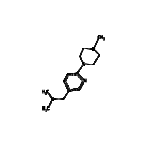 CN(C)Cc1ccc(N2CCN(C)CC2)nc1